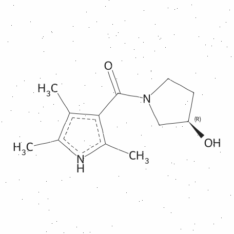 Cc1[nH]c(C)c(C(=O)N2CC[C@@H](O)C2)c1C